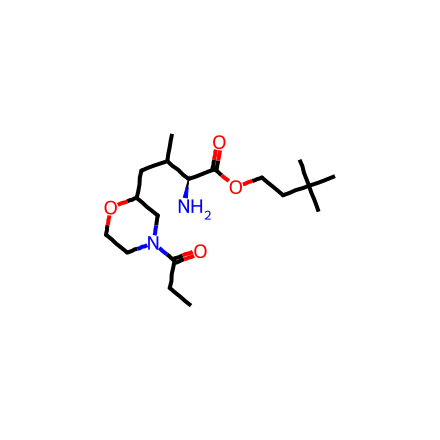 CCC(=O)N1CCOC(CC(C)[C@H](N)C(=O)OCCC(C)(C)C)C1